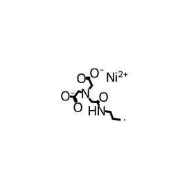 [CH2]CCNC(=O)CN(CC(=O)[O-])CC(=O)[O-].[Ni+2]